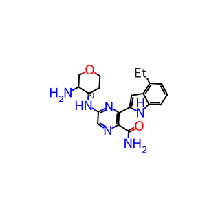 CCc1cccc2[nH]c(-c3nc(N[C@@H]4CCOCC4N)cnc3C(N)=O)cc12